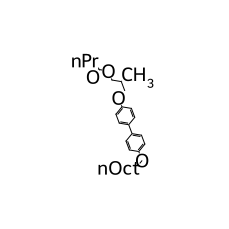 CCCCCCCCOc1ccc(-c2ccc(OCC(C)COC(=O)CCC)cc2)cc1